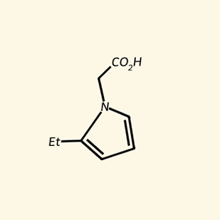 CCc1cccn1CC(=O)O